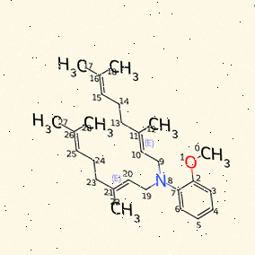 COc1ccccc1N(C/C=C(\C)CCC=C(C)C)C/C=C(\C)CCC=C(C)C